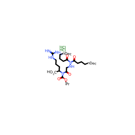 CCCCCCCCCCCCCC(=O)N(NCC(=O)N(C(=O)OC(C)C)C(CCCNC(=N)N)C(=O)O)C(=O)CCCCCCCCCCCCC.Cl.Cl